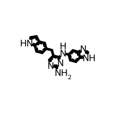 Nc1ncc(Cc2ccc3[nH]ccc3c2)c(Nc2ccc3[nH]cnc3c2)n1